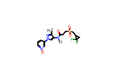 CCN(C(=O)CCS(=O)(=O)CC1CC1(F)F)c1cn(-c2ccc[n+]([O-])c2)nc1C